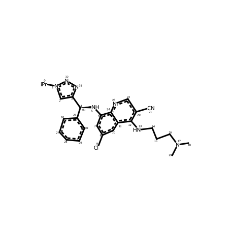 CC(C)n1cc([C@@H](Nc2cc(Cl)cc3c(NCCCN(C)C)c(C#N)cnc23)c2ccccc2)nn1